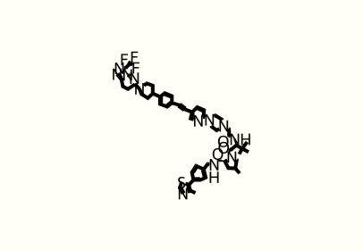 Cc1ncsc1-c1ccc(CNC(=O)[C@@H]2CC(C)CN2C(=O)[C@@H](NC(=O)CN2CCN(c3ccc(C#Cc4ccc(C5CCN(C6=Nn7c(nnc7C(F)(F)F)CC6)CC5)cc4)cn3)CC2)C(C)(C)C)cc1